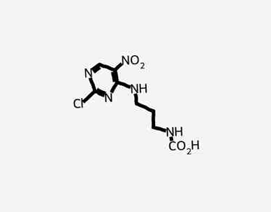 O=C(O)NCCCNc1nc(Cl)ncc1[N+](=O)[O-]